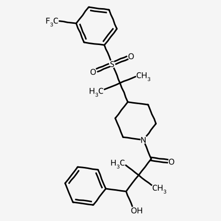 CC(C)(C(=O)N1CCC(C(C)(C)S(=O)(=O)c2cccc(C(F)(F)F)c2)CC1)C(O)c1ccccc1